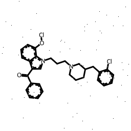 O=C(c1ccccc1)c1cn(CCCN2CCCC(Cc3ccccc3Cl)C2)c2c(OCl)cccc12